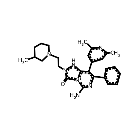 Cc1cc(-c2c(-c3ccccc3)nc(N)[n+]3c(=O)n(CCN4CCCC(C)C4)[nH]c23)cc(C)n1